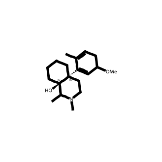 COC1C=C([C@@]23CCCC[C@@]2(O)C(C)N(C)CC3)C(C)=CC1